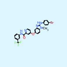 Cn1c(Nc2ccc(Br)cc2)nc2cc(Oc3ccnc(C(=O)Nc4cccc(C(F)(F)F)c4)c3)ccc21